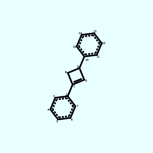 C1=C(c2ccccc2)CC1c1ccccc1